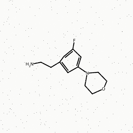 NCCc1cc(F)cc(N2CCOCC2)c1